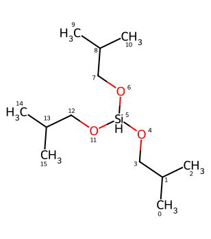 CC(C)CO[SiH](OCC(C)C)OCC(C)C